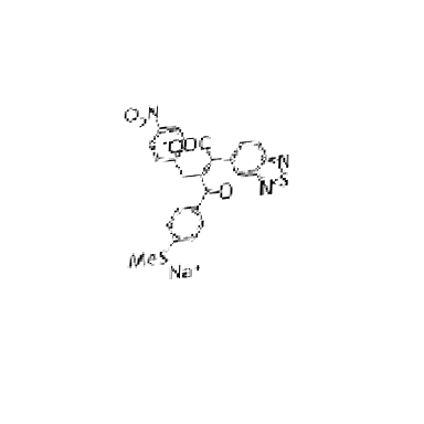 CSc1ccc(C(=O)C(Cc2ccc([N+](=O)[O-])cc2)=C(C(=O)[O-])c2ccc3nsnc3c2)cc1.[Na+]